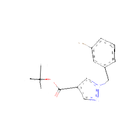 CC(C)(C)OC(=O)c1cnn(Cc2cccc(Br)c2)c1